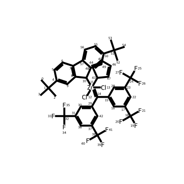 CC(C)(C)c1ccc2c(c1)[CH]([Zr]([Cl])([Cl])(=[C](c1cc(C(F)(F)F)cc(C(F)(F)F)c1)c1cc(C(F)(F)F)cc(C(F)(F)F)c1)[CH]1C=CC=C1)c1cc(C(C)(C)C)ccc1-2